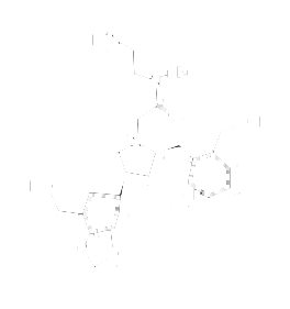 CCCCN(CCN)C(=O)CN1C[C@H](c2cc(CO)c3c(c2)OCO3)[C@@H](C(=O)O)[C@@H]1Cc1ccccc1CO